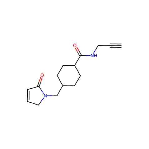 C#CCNC(=O)C1CCC(CN2CC=CC2=O)CC1